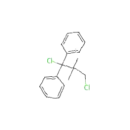 CC(C)(CCl)C(Cl)(c1ccccc1)c1ccccc1